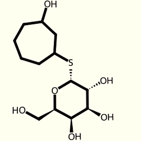 OC[C@H]1O[C@H](SC2CCCCC(O)C2)[C@H](O)[C@@H](O)[C@H]1O